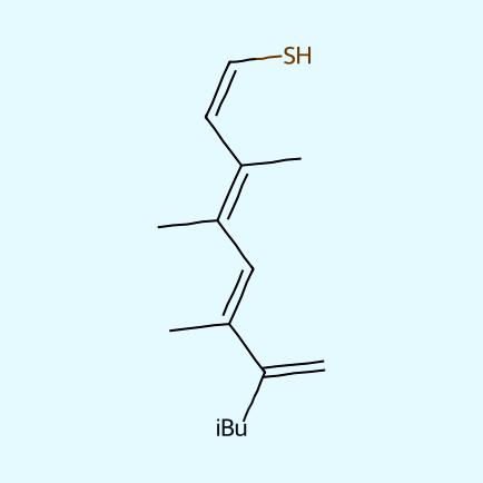 C=C(/C(C)=C/C(C)=C(C)/C=C\S)C(C)CC